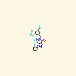 O=C(NCc1cc(C(F)(F)F)cc(C(F)(F)F)c1)c1cnn(-c2ccccc2)c1C(F)(F)F